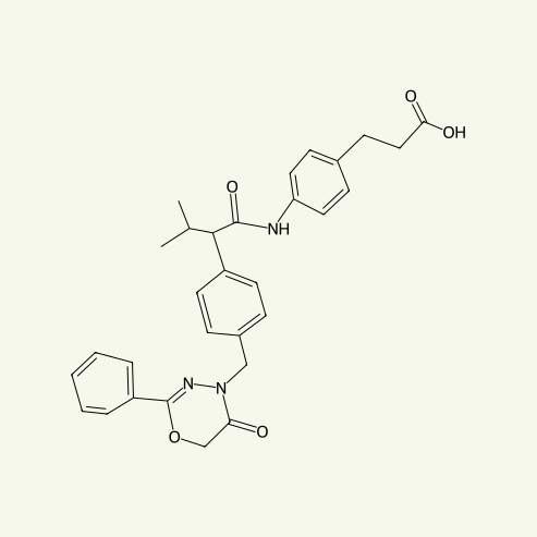 CC(C)C(C(=O)Nc1ccc(CCC(=O)O)cc1)c1ccc(CN2N=C(c3ccccc3)OCC2=O)cc1